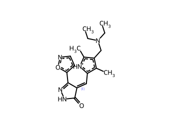 CCN(CC)Cc1c(C)[nH]c(/C=C2/C(=O)NN=C2c2ccno2)c1C